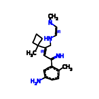 C=N/C=C\NC/C(=C\C(=N)c1cc(N)ccc1C)C1(C)CCC1